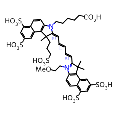 COCC[N+]1=C(/C=C/C=C/C=C2/N(CCCCCC(=O)O)c3ccc4c(S(=O)(=O)O)cc(S(=O)(=O)O)cc4c3C2(C)CCCS(=O)(=O)O)C(C)(C)c2c1ccc1c(S(=O)(=O)O)cc(S(=O)(=O)O)cc21